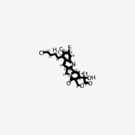 CC[C@@]1(O)C(=O)OCc2c1cc1n(c2=O)Cc2cc3c(CCCCCl)c(C)c(F)cc3nc2-1